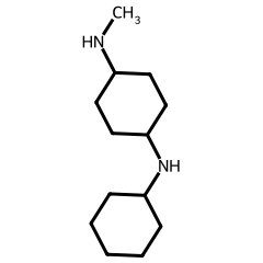 CNC1CCC(NC2CCCCC2)CC1